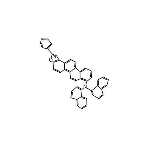 c1ccc(-c2nc3c(ccc4c5ccc6c(N(c7cccc8ccccc78)c7cccc8ccccc78)cccc6c5ccc43)o2)cc1